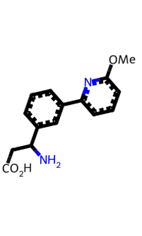 COc1cccc(-c2cccc(C(N)CC(=O)O)c2)n1